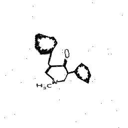 CN1CC(c2ccccc2)C(=O)C(c2ccccc2)C1